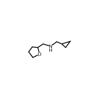 C1COC(CNCC2CC2)C1